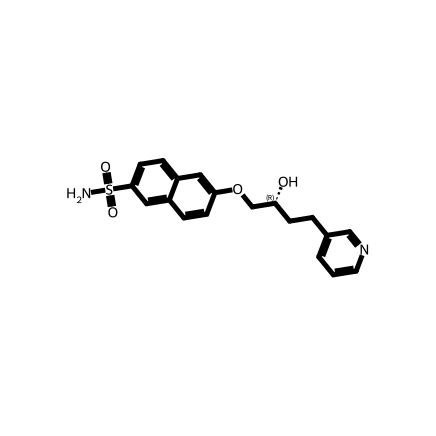 NS(=O)(=O)c1ccc2cc(OC[C@H](O)CCc3cccnc3)ccc2c1